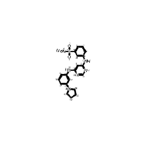 CNS(=O)(=O)c1cccc(Nc2cc(Nc3cccc(N4CCCC4)c3)ncn2)c1